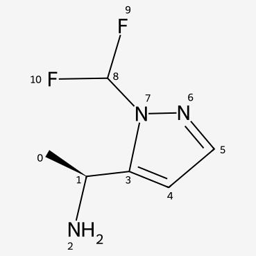 C[C@H](N)c1ccnn1C(F)F